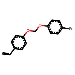 C=Cc1ccc(OCOc2ccc(CC)cc2)cc1